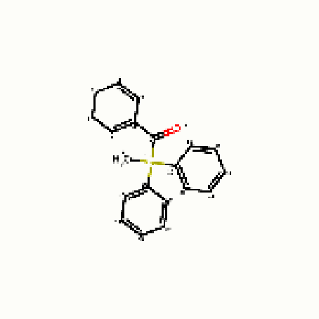 CS(C(=O)C1=CCCC=C1)(c1ccccc1)c1ccccc1